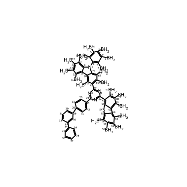 Bc1c(B)c(B)c(-n2c3c(B)c(B)c(B)c(B)c3c3c(B)c(-c4nc(-c5ccc(-c6cccc(-c7ccccc7)c6)cc5)nc(-c5c(B)c(B)c(B)c6c5sc5c(B)c(B)c(B)c(B)c56)n4)c(B)c(B)c32)c(B)c1B